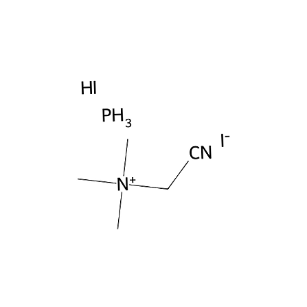 C[N+](C)(C)CC#N.I.P.[I-]